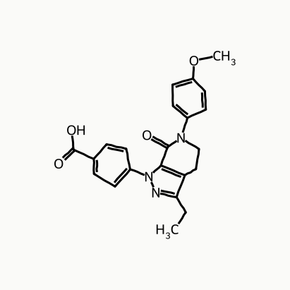 CCc1nn(-c2ccc(C(=O)O)cc2)c2c1CCN(c1ccc(OC)cc1)C2=O